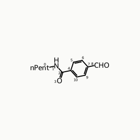 CCCCCNC(=O)c1ccc(C=O)cc1